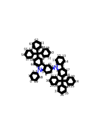 c1ccc(-n2c3ccc(-n4c5ccccc5c5ccc(C(c6ccccc6)(c6ccccc6)c6ccccc6)cc54)cc3c3cc(C(c4ccccc4)(c4ccccc4)c4ccccc4)ccc32)cc1